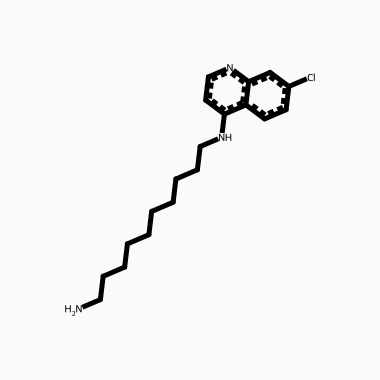 NCCCCCCCCCCNc1ccnc2cc(Cl)ccc12